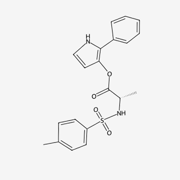 Cc1ccc(S(=O)(=O)N[C@@H](C)C(=O)Oc2cc[nH]c2-c2ccccc2)cc1